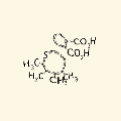 Cc1ccccsc(C)c(C)c1C.O=C(O)c1ccccc1C(=O)O